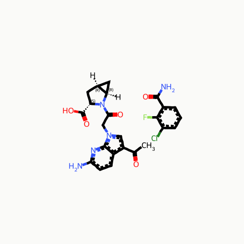 CC(=O)c1cn(CC(=O)N2[C@@H]3C[C@@H]3C[C@H]2C(=O)O)c2nc(N)ccc12.NC(=O)c1cccc(Cl)c1F